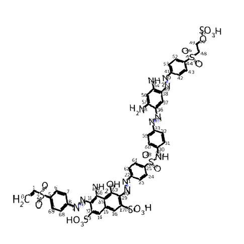 C=CS(=O)(=O)c1ccc(/N=N/c2c(S(=O)(=O)O)cc3cc(S(=O)(=O)O)c(/N=N/c4ccc(S(=O)(=O)Nc5ccc(/N=N/c6cc(/N=N/c7ccc(S(=O)(=O)CCOS(=O)(=O)O)cc7)c(N)cc6N)cc5)cc4)c(O)c3c2N)cc1